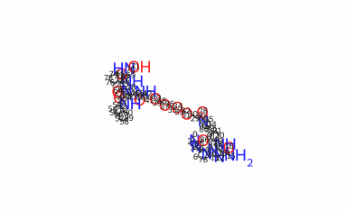 CN1CCN([C@@H]2CCCN(c3cnc(C(N)=O)c(Nc4ccc(C5CCN(C(=O)CCOCCOCCOCCOCCC(=O)N[C@H]6C[C@@H](C(=O)N[C@@H]7CCCc8ccccc87)N(C(=O)[C@@H](NC(=O)CNO)C7CCCCC7)C6)CC5)cc4)n3)C2)C1=O